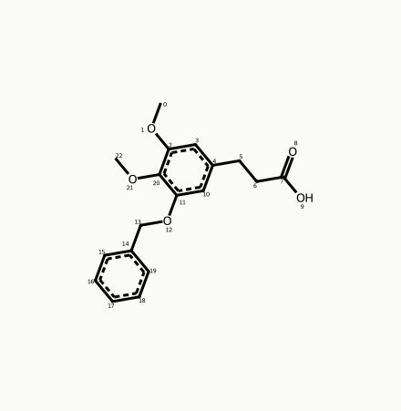 COc1cc(CCC(=O)O)cc(OCc2ccccc2)c1OC